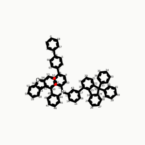 c1ccc(-c2ccc(-c3ccc(N(c4cccc(-c5cccc6c5-c5ccccc5C6(c5ccccc5)c5ccccc5)c4)c4ccccc4-c4cccc5oc6ccccc6c45)cc3)cc2)cc1